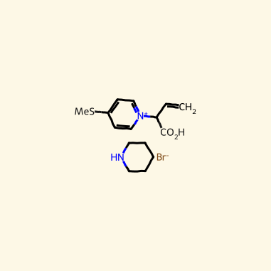 C1CCNCC1.C=CC(C(=O)O)[n+]1ccc(SC)cc1.[Br-]